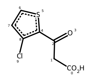 O=C(O)CC(=O)c1sccc1Cl